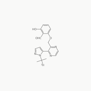 [2H]C(C)(C)n1nccc1-c1nccnc1COc1cccc(O)c1C=O